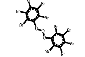 Brc1c(Br)c(Br)c(OOOc2c(Br)c(Br)c(Br)c(Br)c2Br)c(Br)c1Br